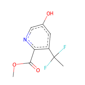 COC(=O)c1ncc(O)cc1C(C)(F)F